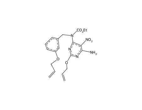 C=CCOc1cccc(CN(C(=O)OCC)c2nc(OCC=C)nc(N)c2[N+](=O)[O-])c1